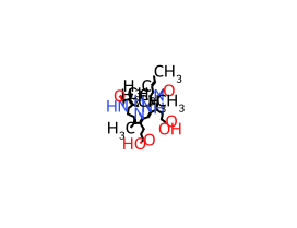 CC/C=C(\C)C(NC=O)C(C)C1=NC(=Cc2[nH]c(CC3NC(=O)C(C)=C3CC)c(C)c2CCC(=O)O)C(CCC(=O)O)=C1C